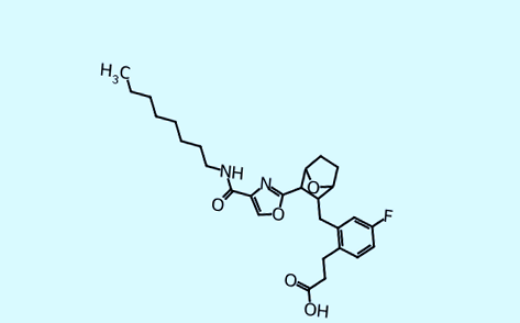 CCCCCCCCNC(=O)c1coc(C2C3CCC(O3)C2Cc2cc(F)ccc2CCC(=O)O)n1